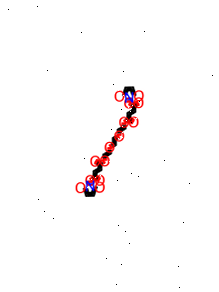 O=C(CCC(=O)ON1C(=O)CCC1=O)OCCOCCOCCOC(=O)CCC(=O)ON1C(=O)CCC1=O